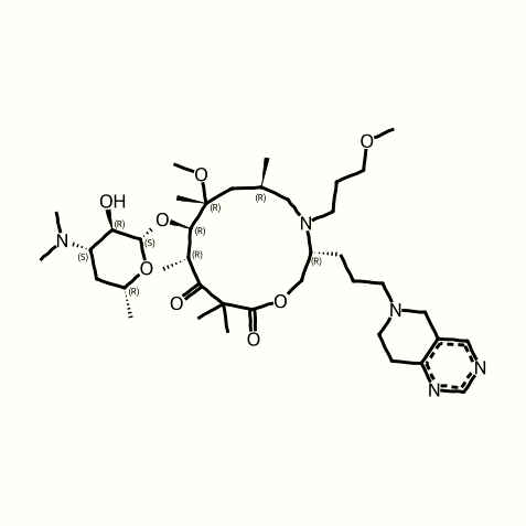 COCCCN1C[C@H](C)C[C@@](C)(OC)[C@H](O[C@@H]2O[C@H](C)C[C@H](N(C)C)[C@H]2O)[C@@H](C)C(=O)C(C)(C)C(=O)OC[C@H]1CCCN1CCc2ncncc2C1